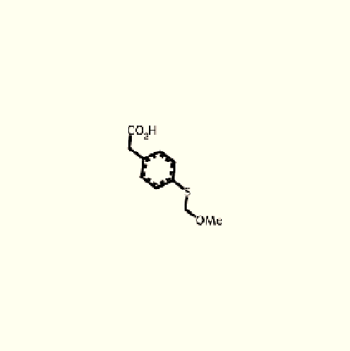 COCSc1ccc(CC(=O)O)cc1